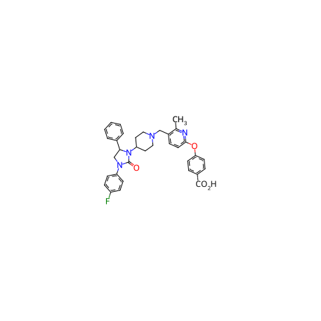 Cc1nc(Oc2ccc(C(=O)O)cc2)ccc1CN1CCC(N2C(=O)N(c3ccc(F)cc3)CC2c2ccccc2)CC1